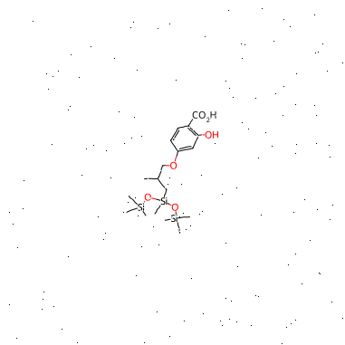 CC(COc1ccc(C(=O)O)c(O)c1)C[Si](C)(O[Si](C)(C)C)O[Si](C)(C)C